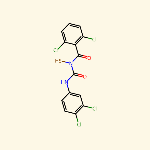 O=C(Nc1ccc(Cl)c(Cl)c1)N(S)C(=O)c1c(Cl)cccc1Cl